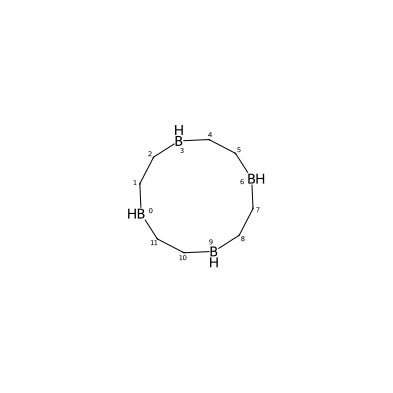 B1CCBCCBCCBCC1